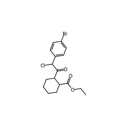 CCOC(=O)C1CCCCC1C(=O)C(Cl)c1ccc(Br)cc1